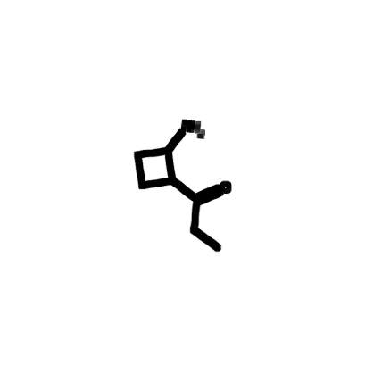 CCC(=O)C1CCC1N